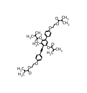 C=C(C)C(=O)OCCOc1ccc(C#Cc2c(OC(=O)C(=C)C)cc(-c3ccc(OCCOC(=O)C(=C)C)cc3)c(OC(=O)C(=C)C)c2C)cc1